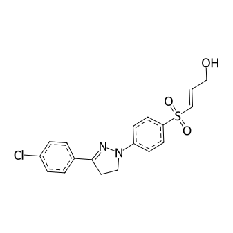 O=S(=O)(C=CCO)c1ccc(N2CCC(c3ccc(Cl)cc3)=N2)cc1